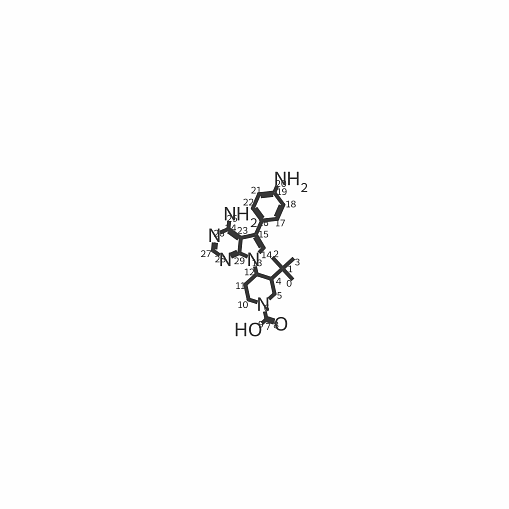 CC(C)(C)C1CN(C(=O)O)CCC1n1cc(-c2ccc(N)cc2)c2c(N)ncnc21